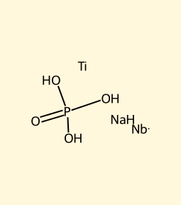 O=P(O)(O)O.[NaH].[Nb].[Ti]